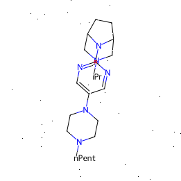 CCCCCN1CCN(c2cnc(N3C4CCC3CN(C(C)C)C4)nc2)CC1